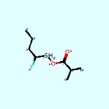 CCCC(F)[SiH2]OC(=O)C(C)C